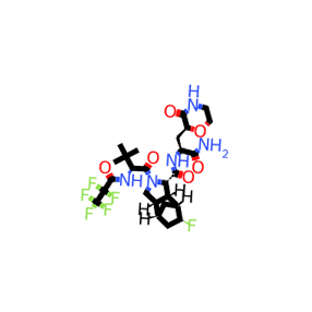 CC(C)(C)[C@H](NC(=O)C(F)(F)C(F)(F)F)C(=O)N1C[C@@H]2[C@H]3C[C@@H]([C@@H]2[C@H]1C(=O)N[C@@H](C[C@@H]1OCCNC1=O)C(N)=O)[C@H](F)C3